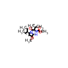 CCC(CC)[C@@H]1C[C@H](OC)CN1C(=O)[C@@H](NC(=O)OC)C(C)C